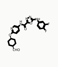 O=C[C@H]1CC[C@@H](Oc2ccc(NC(=O)c3nnc(Nc4ccc(F)c(F)c4)o3)cn2)CC1